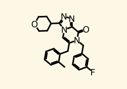 Cc1ccccc1Cc1cn2c(C3CCOCC3)nnc2c(=O)n1Cc1cccc(F)c1